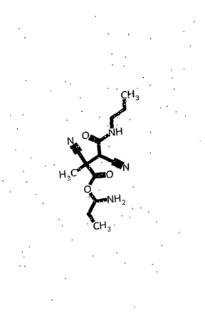 CCCNC(=O)C(C#N)C(C)(C#N)C(=O)OC(N)CC